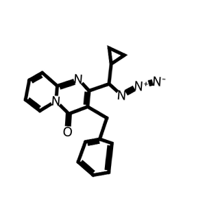 [N-]=[N+]=NC(c1nc2ccccn2c(=O)c1Cc1ccccc1)C1CC1